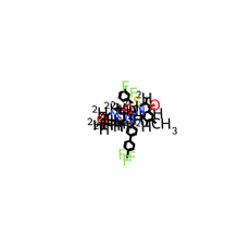 [2H]c1c(C)c([2H])c2c(=O)c([2H])c(SCc3cccc(F)c3F)n(C([2H])([2H])C(=O)N(Cc3ccc(-c4ccc(C(F)(F)F)cc4)cc3)C3([2H])C([2H])([2H])C([2H])([2H])N(CC([2H])([2H])OC([2H])([2H])[2H])C([2H])([2H])C3([2H])[2H])c2c1[2H]